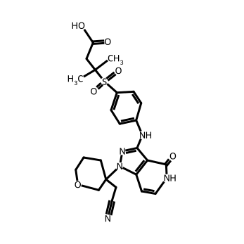 CC(C)(CC(=O)O)S(=O)(=O)c1ccc(Nc2nn(C3(CC#N)CCCOC3)c3cc[nH]c(=O)c23)cc1